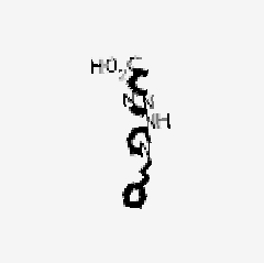 CC(=Cc1cnc(N[C@@H]2CCCN(CCCc3ccccc3)C2)cn1)C(=O)O